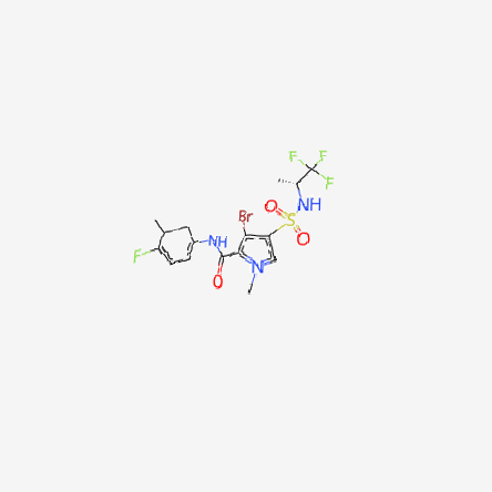 CC1CC(NC(=O)c2c(Br)c(S(=O)(=O)N[C@H](C)C(F)(F)F)cn2C)=CC=C1F